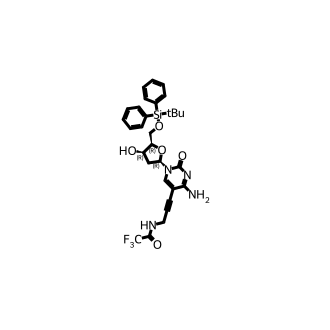 CC(C)(C)[Si](OC[C@H]1O[C@@H](n2cc(C#CCNC(=O)C(F)(F)F)c(N)nc2=O)C[C@H]1O)(c1ccccc1)c1ccccc1